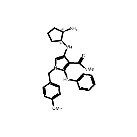 CNC(=O)c1c(N[C@H]2CCC[C@H]2N)cn(Cc2ccc(OC)cc2)c1Nc1ccccc1